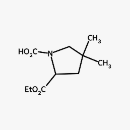 CCOC(=O)C1CC(C)(C)CN1C(=O)O